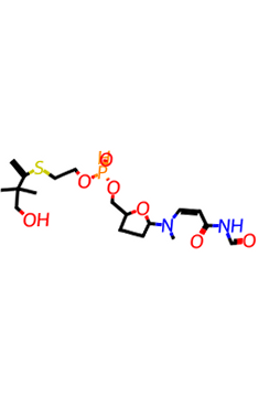 C=C(SCCO[PH](=O)OCC1CCC(N(C)/C=C\C(=O)NC=O)O1)C(C)(C)CO